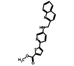 COC(=O)c1ccc(-c2ccc(NCc3ccc4ccccc4n3)cn2)s1